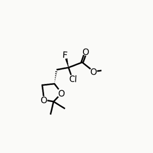 COC(=O)[C@](F)(Cl)C[C@H]1COC(C)(C)O1